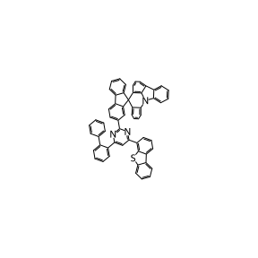 c1ccc(-c2ccccc2-c2cc(-c3cccc4c3sc3ccccc34)nc(-c3ccc4c(c3)C3(c5ccccc5-4)c4ccccc4-n4c5ccccc5c5cccc3c54)n2)cc1